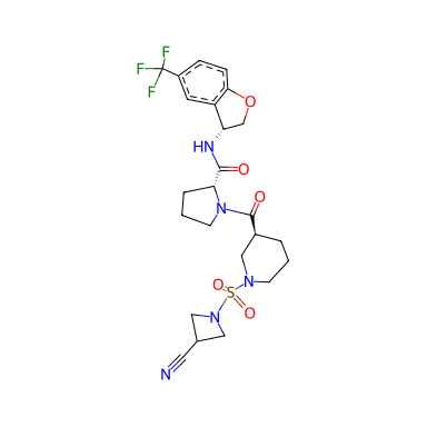 N#CC1CN(S(=O)(=O)N2CCC[C@H](C(=O)N3CCC[C@@H]3C(=O)N[C@H]3COc4ccc(C(F)(F)F)cc43)C2)C1